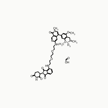 COc1cc(-c2cn(C)c(=O)c3cnc(NCCOCCOCCNc4cccc5c4C(=O)N(C4CCC(=O)NC4=O)C5=O)cc23)cc(OC)c1CN(C)C.O=CO